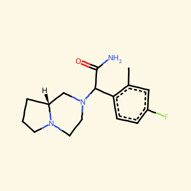 Cc1cc(F)ccc1C(C(N)=O)N1CCN2CCC[C@@H]2C1